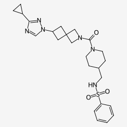 O=C(N1CCC(CNS(=O)(=O)c2ccccc2)CC1)N1CC2(CC(n3cnc(C4CC4)n3)C2)C1